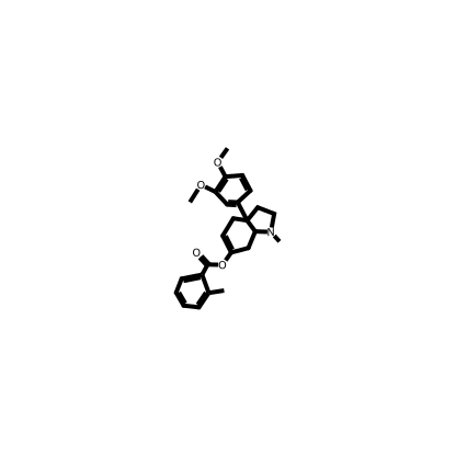 COc1ccc(C23CC=C(OC(=O)c4ccccc4C)CC2N(C)CC3)cc1OC